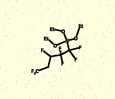 CCO[Si](OCC)(OCC)C(F)(F)C(F)(F)C(F)CC(F)(F)F